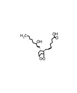 CCCCCC(O)/C=C/[C@H]1CC2CC(OO2)[C@@H]1C/C=C\CCCC(=O)O